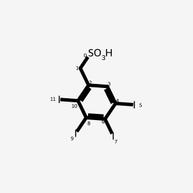 O=S(=O)(O)Cc1cc(I)c(I)c(I)c1I